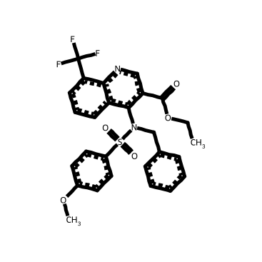 CCOC(=O)c1cnc2c(C(F)(F)F)cccc2c1N(Cc1ccccc1)S(=O)(=O)c1ccc(OC)cc1